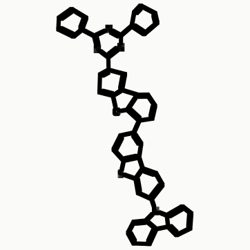 c1ccc(-c2nc(-c3ccccc3)nc(-c3ccc4oc5c(-c6ccc7sc8cc(-n9c%10ccccc%10c%10ccccc%109)ccc8c7c6)cccc5c4c3)n2)cc1